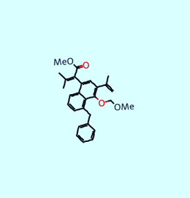 C=C(C)c1cc(C(C(=O)OC)=C(C)C)c2cccc(Cc3ccccc3)c2c1OCOC